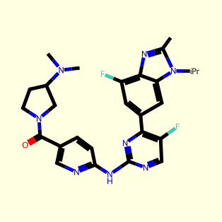 Cc1nc2c(F)cc(-c3nc(Nc4ccc(C(=O)N5CCC(N(C)C)C5)cn4)ncc3F)cc2n1C(C)C